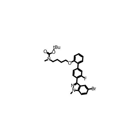 CN(CCCCOc1ccccc1-c1ccc(-c2nn(C)c3ccc(Br)cc23)c(F)c1)C(=O)OC(C)(C)C